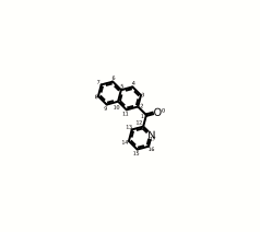 O=C(c1ccc2ccccc2c1)c1ccccn1